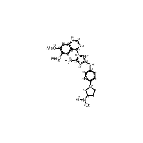 CCN(CC)C1CCN(c2ccc(Nc3nc(N)n(-c4ncnc5cc(OC)c(OC)cc45)n3)cn2)C1